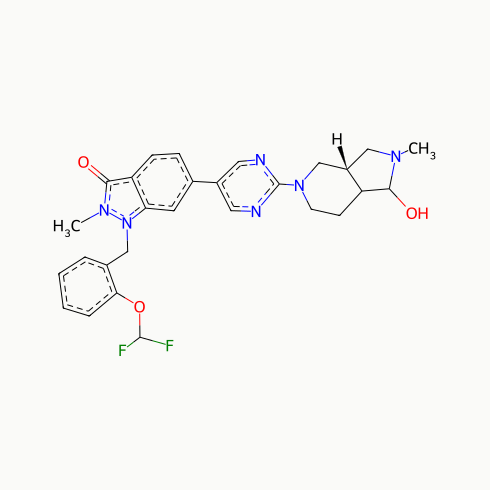 CN1C[C@H]2CN(c3ncc(-c4ccc5c(=O)n(C)n(Cc6ccccc6OC(F)F)c5c4)cn3)CCC2C1O